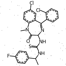 CC(NC(=S)NC1N=C(c2ccccc2Cl)c2cc(Cl)ccc2N(C)C1=O)c1ccc(F)cc1